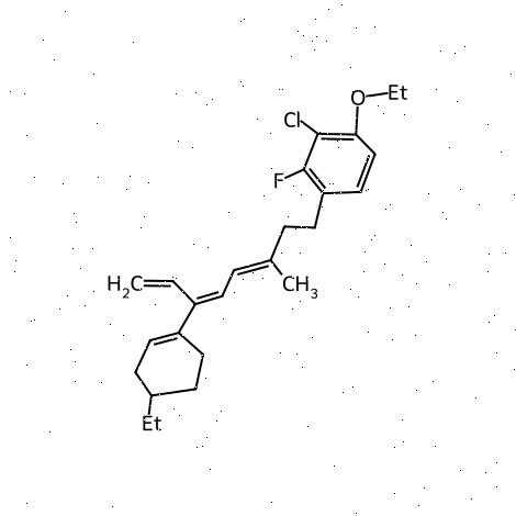 C=C/C(=C\C=C(/C)CCc1ccc(OCC)c(Cl)c1F)C1=CCC(CC)CC1